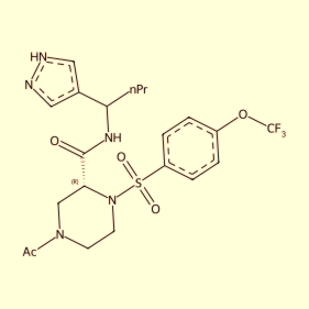 CCCC(NC(=O)[C@H]1CN(C(C)=O)CCN1S(=O)(=O)c1ccc(OC(F)(F)F)cc1)c1cn[nH]c1